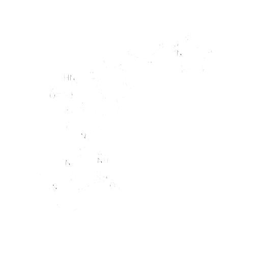 CN1CCCc2c1nc(N1CCC3(CC1)C(=O)Nc1cc(OCCN4CCCC4)cc(F)c13)[nH]c2=O